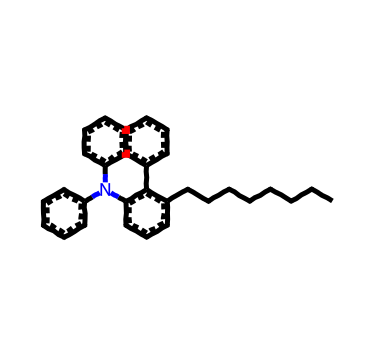 CCCCCCCCc1cccc(N(c2ccccc2)c2ccccc2)c1-c1ccccc1